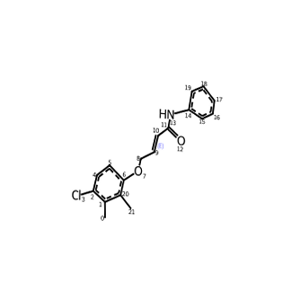 Cc1c(Cl)ccc(OC/C=C/C(=O)Nc2ccccc2)c1C